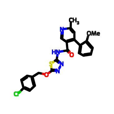 COc1ccccc1-c1cc(C)ncc1C(=O)Nc1nnc(OCc2ccc(Cl)cc2)s1